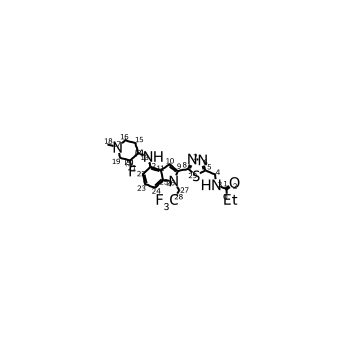 CCC(=O)NCc1nnc(-c2cc3c(N[C@@H]4CCN(C)C[C@@H]4F)cccc3n2CC(F)(F)F)s1